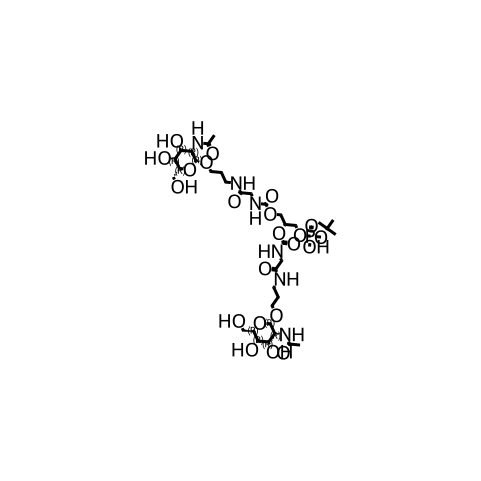 CC(=O)N[C@H]1[C@H](OCCCNC(=O)CNC(=O)OCC(COP(=O)(O)OC(C)(C)C)OC(=O)NCC(=O)NCCCO[C@@H]2O[C@H](CO)[C@H](O)[C@H](O)[C@H]2NC(C)=O)O[C@H](CO)[C@H](O)[C@@H]1O